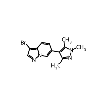 Cc1nn(C)c(C)c1-c1ccc2c(Br)cnn2c1